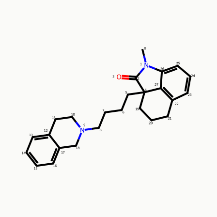 CN1C(=O)C2(CCCCN3CCc4ccccc4C3)CCCc3cccc1c32